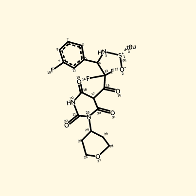 CC(C)(C)[S@+]([O-])NC(c1cccc(F)c1)C(F)(F)C(=O)C1C(=O)NC(=O)N(C2CCOCC2)C1=O